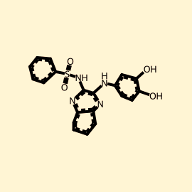 O=S(=O)(Nc1nc2ccccc2nc1Nc1ccc(O)c(O)c1)c1ccccc1